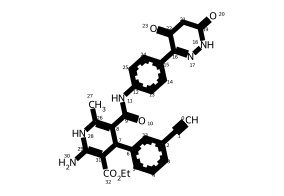 C#Cc1cccc(C2C(C(=O)Nc3ccc(C4=NNC(=O)CC4=O)cc3)=C(C)NC(N)=C2C(=O)OCC)c1